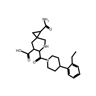 CCc1ccccc1C1CCN(C(=O)C2NCC3(CC2C(=O)O)CC3C(N)=O)CC1